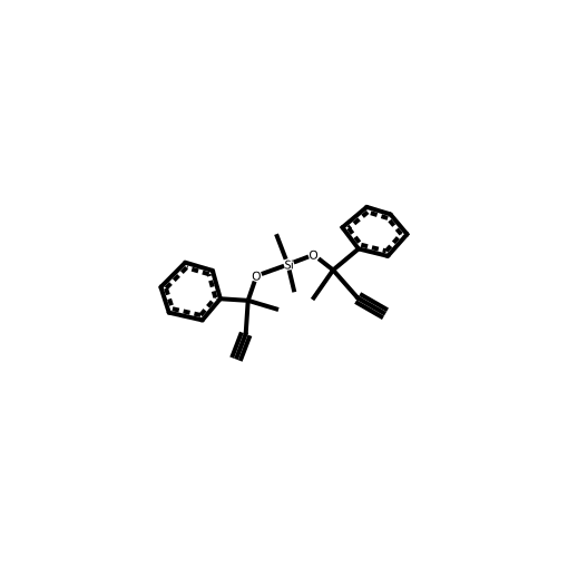 C#CC(C)(O[Si](C)(C)OC(C)(C#C)c1ccccc1)c1ccccc1